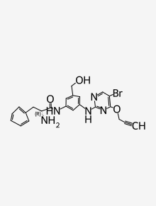 C#CCOc1nc(Nc2cc(CO)cc(NC(=O)[C@H](N)Cc3ccccc3)c2)ncc1Br